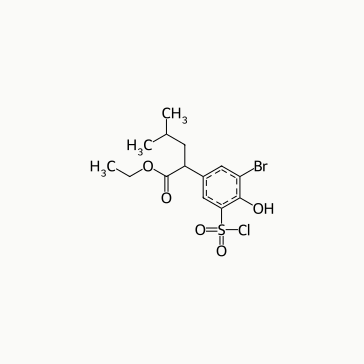 CCOC(=O)C(CC(C)C)c1cc(Br)c(O)c(S(=O)(=O)Cl)c1